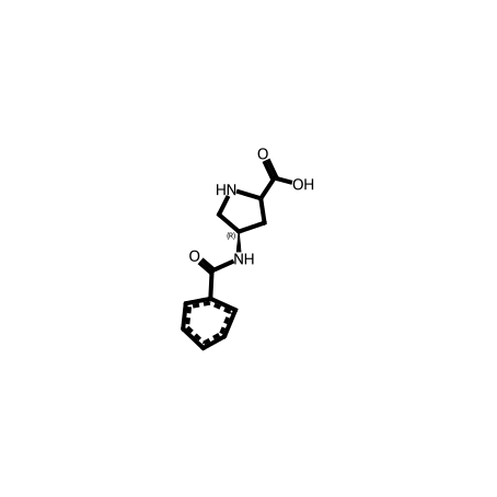 O=C(N[C@H]1CNC(C(=O)O)C1)c1ccccc1